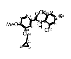 COc1cnc(C(=O)Nc2c(Cl)c[n+]([O-])cc2Cl)cc1OCC1CC1